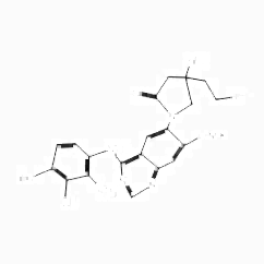 CCCC1(CCC(C)C)CC(=O)N(c2cc3c(Nc4ccc(C(C)CC)c(Cl)c4C)ncnc3cc2OC)C1